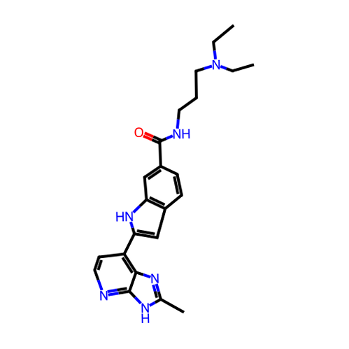 CCN(CC)CCCNC(=O)c1ccc2cc(-c3ccnc4[nH]c(C)nc34)[nH]c2c1